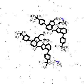 C[CH]=[Hf-4]([CH]1C(CC)=Cc2c(-c3ccc(C(C)(C)C)cc3)cccc21)[CH]1C(CC)=Cc2c(-c3ccc(C(C)(C)C)cc3)cccc21.C[CH]=[Zr-2]([CH]1C(CC)=Cc2c(-c3ccc(C(C)(C)C)cc3)cccc21)[CH]1C(CC)=Cc2c(-c3ccc(C(C)(C)C)cc3)cccc21.C[N-]C.C[N-]C